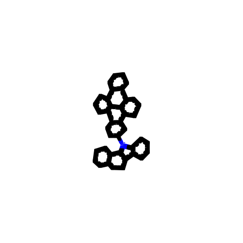 c1ccc2c(c1)ccc1c3ccccc3n(-c3ccc4c(c3)c3cccc5c6ccccc6c6cccc4c6c53)c21